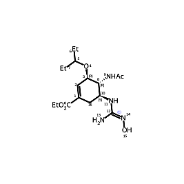 CCOC(=O)C1=C[C@@H](OC(CC)CC)[C@H](NC(C)=O)[C@@H](N/C(N)=N/O)C1